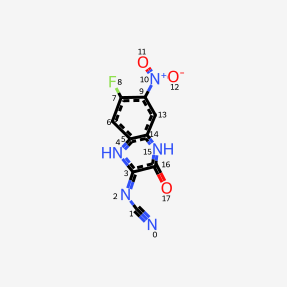 N#C/N=c1/[nH]c2cc(F)c([N+](=O)[O-])cc2[nH]c1=O